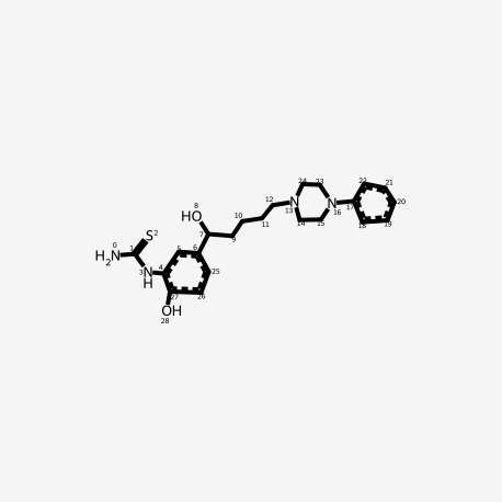 NC(=S)Nc1cc(C(O)CCCCN2CCN(c3ccccc3)CC2)ccc1O